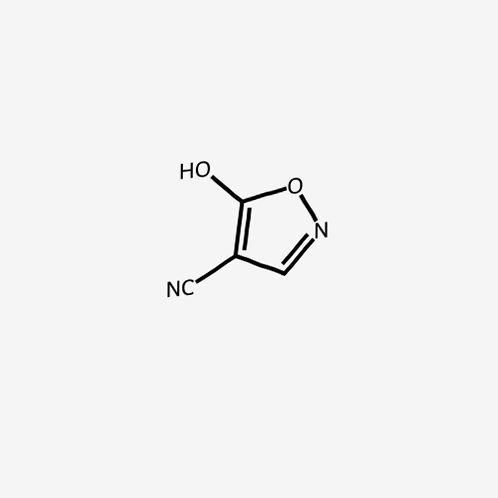 N#Cc1cnoc1O